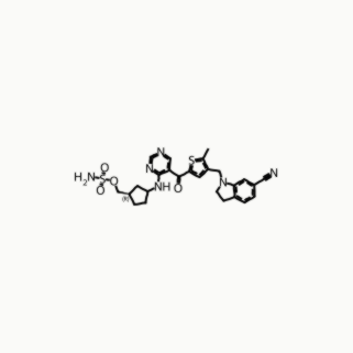 Cc1sc(C(=O)c2cncnc2NC2CC[C@@H](COS(N)(=O)=O)C2)cc1CN1CCc2ccc(C#N)cc21